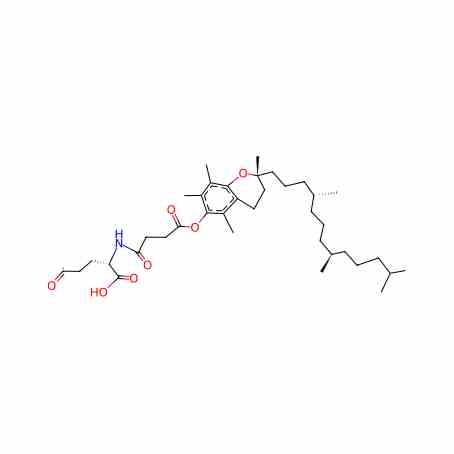 Cc1c(C)c2c(c(C)c1OC(=O)CCC(=O)N[C@@H](CC[C]=O)C(=O)O)CC[C@@](C)(CCC[C@H](C)CCC[C@H](C)CCCC(C)C)O2